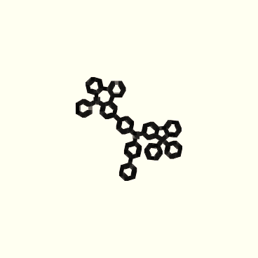 c1ccc(-c2ccc(N(c3ccc(-c4ccc5c(c4)-c4ccccc4-c4ccccc4N5c4ccccc4)cc3)c3ccc4c(c3)C(c3ccccc3)(c3ccccc3)c3ccccc3-4)cc2)cc1